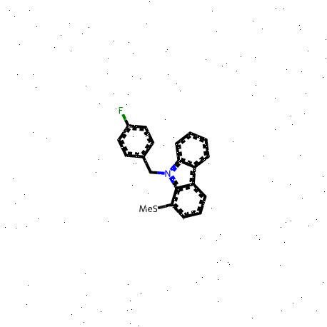 CSc1[c]ccc2c3ccccc3n(Cc3ccc(F)cc3)c12